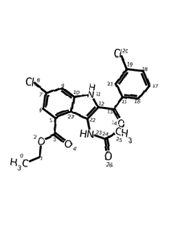 CCOC(=O)c1cc(Cl)cc2[nH]c(C(=O)c3cccc(Cl)c3)c(NC(C)=O)c12